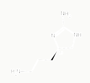 NCCC[C@@H]1CNC(N)=N1